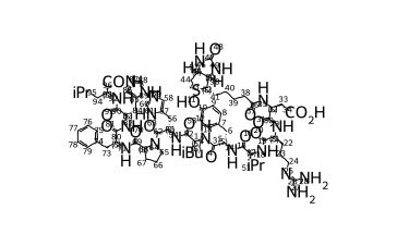 CC[C@H](C)[C@H](NC(=O)[C@H](Cc1ccc(O)cc1)NC(=O)[C@@H](NC(=O)[C@H](CCCN=C(N)N)NC(=O)[C@H](CC(=O)O)NC(=O)CCCC[C@@H]1SC[C@@H]2NC(=O)N[C@@H]21)C(C)C)C(=O)N[C@@H](Cc1cnc[nH]1)C(=O)N1CCC[C@H]1C(=O)N[C@@H](Cc1ccccc1)C(=O)N[C@@H](Cc1cnc[nH]1)C(=O)N[C@@H](CC(C)C)C(=O)O